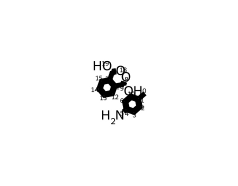 Cc1ccc(N)cc1.O=C(O)c1ccccc1C(=O)O